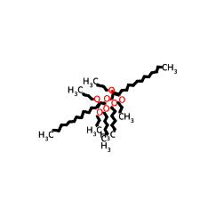 CCCCCCCCCCCCC(OCCCC)=C(OCCCC)C(OCCCCCCC)OC(OCCCCCCC)C(OCCCC)=C(CCCCCCCCCCCC)OCCCC